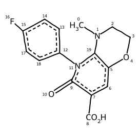 CN1CCOc2cc(C(=O)O)c(=O)n(-c3ccc(F)cc3)c21